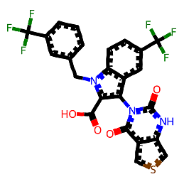 O=C(O)c1c(-n2c(=O)[nH]c3cscc3c2=O)c2cc(C(F)(F)F)ccc2n1Cc1cccc(C(F)(F)F)c1